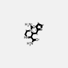 NC(=O)C1NCCN(C(N)=O)C1Cc1cccs1